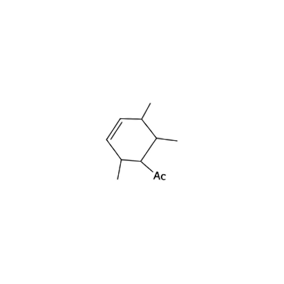 CC(=O)C1C(C)C=CC(C)C1C